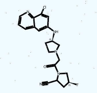 N#CC1C[C@H](F)CN1C(=O)CN1CC[C@@H](Nc2cc(Cl)c3ncccc3c2)C1